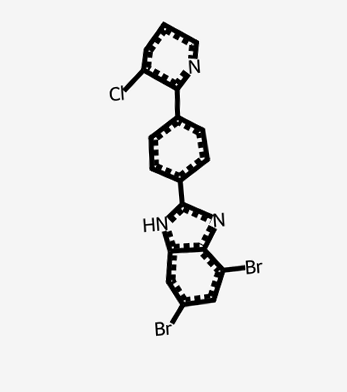 Clc1cccnc1-c1ccc(-c2nc3c(Br)cc(Br)cc3[nH]2)cc1